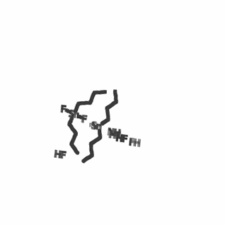 CCC[CH2][Sn]([F])([F])[CH2]CCC.CCC[CH2][Sn][CH2]CCC.F.F.F.F.N